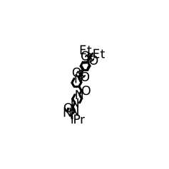 CCC(CC)S(=O)(=O)c1ccc(S(=O)(=O)N2CCCC(C(=O)N3CCN(c4nc(C(C)C)no4)CC3)C2)cc1